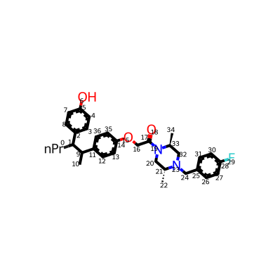 CCCC(c1ccc(O)cc1)C(C)c1ccc(OCC(=O)N2C[C@@H](C)N(Cc3ccc(F)cc3)C[C@@H]2C)cc1